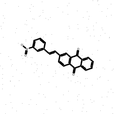 O=C1c2ccccc2C(=O)c2cc(/C=C/c3cccc([N+](=O)[O-])c3)ccc21